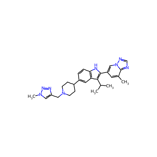 Cc1cc(-c2[nH]c3ccc(C4CCN(Cc5cn(C)nn5)CC4)cc3c2C(C)C)cn2ncnc12